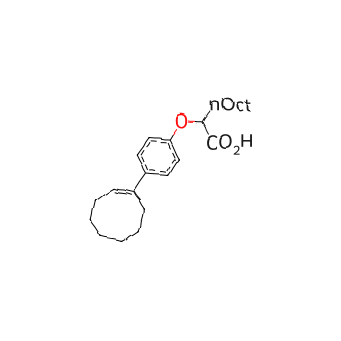 CCCCCCCCC(Oc1ccc(/C2=C/CCCCCC2)cc1)C(=O)O